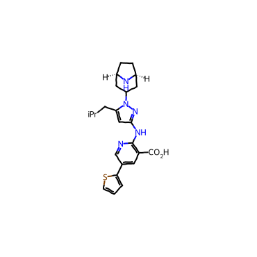 CC(C)Cc1cc(Nc2ncc(-c3cccs3)cc2C(=O)O)nn1C1C[C@H]2CC[C@@H](C1)N2